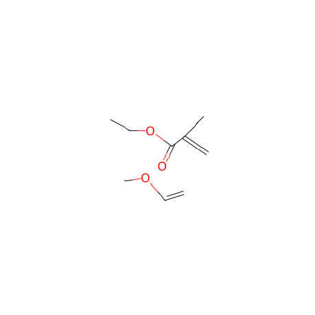 C=C(C)C(=O)OCC.C=COC